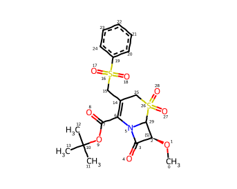 CO[C@H]1C(=O)N2C(C(=O)OC(C)(C)C)=C(CS(=O)(=O)c3ccccc3)CS(=O)(=O)C12